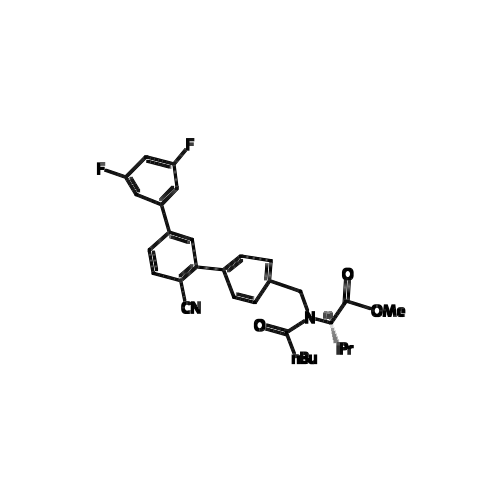 CCCCC(=O)N(Cc1ccc(-c2cc(-c3cc(F)cc(F)c3)ccc2C#N)cc1)[C@H](C(=O)OC)C(C)C